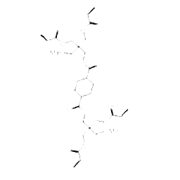 C=CC(=O)OCC(COC)(COC(=O)C=C)COC(=O)C1CCC(C(=O)OCC(COC)(COC(=O)C=C)COC(=O)C=C)CC1